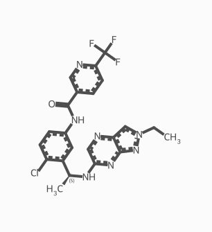 CCn1cc2ncc(N[C@@H](C)c3cc(NC(=O)c4ccc(C(F)(F)F)nc4)ccc3Cl)nc2n1